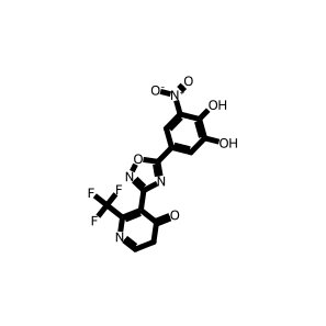 O=C1CC=NC(C(F)(F)F)=C1c1noc(-c2cc(O)c(O)c([N+](=O)[O-])c2)n1